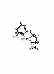 Nc1nnc(Cc2cccc(F)c2F)s1